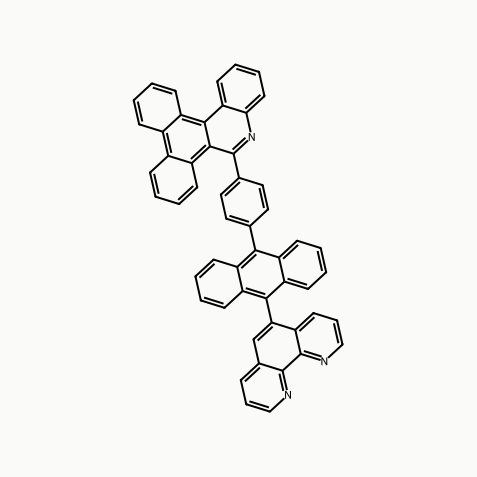 c1cnc2c(c1)cc(-c1c3ccccc3c(-c3ccc(-c4nc5ccccc5c5c6ccccc6c6ccccc6c45)cc3)c3ccccc13)c1cccnc12